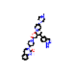 CC(c1ccc2[nH]ncc2c1)C(CC(=O)N1CCC(N2CCc3ccccc3NC2=O)CC1)C(=O)N1CCC(N2CCN(C)CC2)CC1